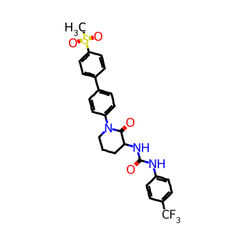 CS(=O)(=O)c1ccc(-c2ccc(N3CCCC(NC(=O)Nc4ccc(C(F)(F)F)cc4)C3=O)cc2)cc1